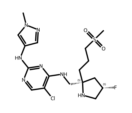 Cn1cc(Nc2ncc(Cl)c(NC[C@]3(CCCS(C)(=O)=O)C[C@H](F)CN3)n2)cn1